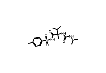 Cc1ccc(S(=O)(=O)NC(=O)C(C)(NC(=O)NN(C)C)C(C)C)cc1